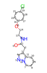 O=C(Cc1cnn2ccccc12)NCCOc1ccc(Cl)cc1